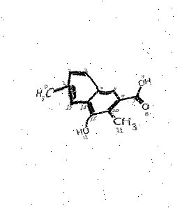 Cc1ccc2cc(C(=O)O)c(C)c(O)c2c1